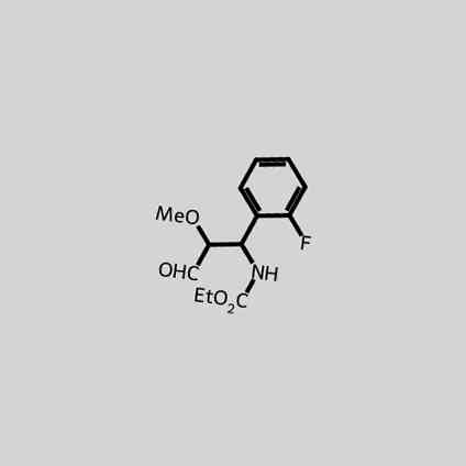 CCOC(=O)NC(c1ccccc1F)C(C=O)OC